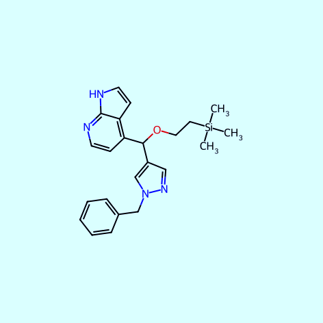 C[Si](C)(C)CCOC(c1cnn(Cc2ccccc2)c1)c1ccnc2[nH]ccc12